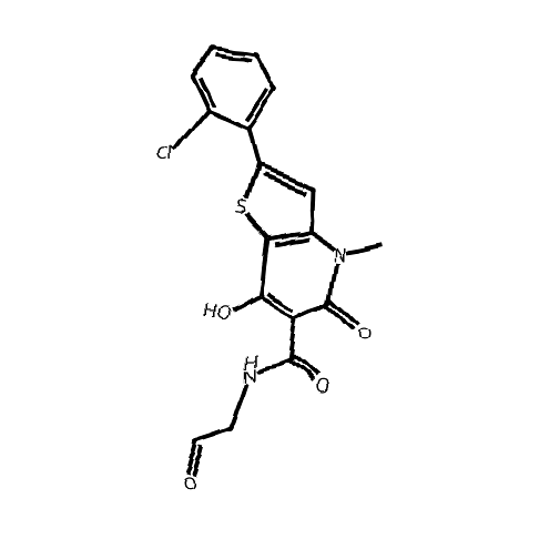 Cn1c(=O)c(C(=O)NCC=O)c(O)c2sc(-c3ccccc3Cl)cc21